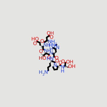 C[C@@H](O)[C@H](NC(=O)[C@H](CCC(=O)O)NC(=O)[C@@H](N)CC(=O)O)C(=O)N[C@@H](Cc1c[nH]cn1)C(=O)N[C@@H](CCCCN)C(=O)N1CCC[C@H]1C(=O)N[C@@H](CO)C(=O)O